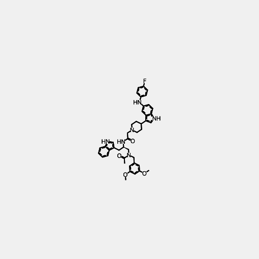 COc1cc(CN(C[C@@H](Cc2c[nH]c3ccccc23)NC(=O)CN2CCC(c3c[nH]c4ccc(Nc5ccc(F)cc5)cc34)CC2)C(C)=O)cc(OC)c1